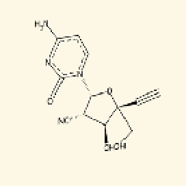 C#C[C@]1(CO)O[C@@H](n2ccc(N)nc2=O)[C@@H](C#N)[C@@H]1O